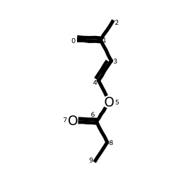 C=C(C)/C=C/OC(=O)CC